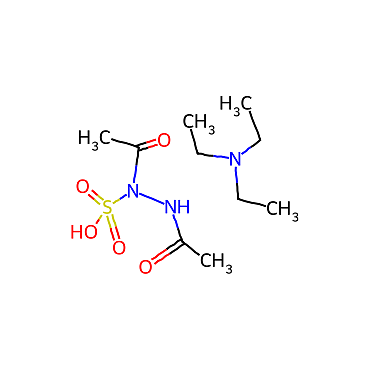 CC(=O)NN(C(C)=O)S(=O)(=O)O.CCN(CC)CC